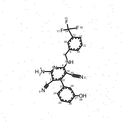 N#Cc1c(N)nc(NCc2cccc(C(F)(F)F)c2)c(C#N)c1-c1cccc(O)c1